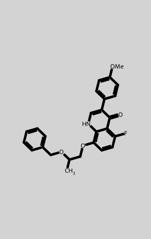 COc1ccc(-c2c[nH]c3c(OCC(C)OCc4ccccc4)ccc(F)c3c2=O)cc1